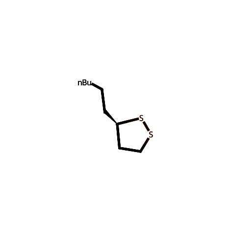 CCCCCC[C@@H]1CCSS1